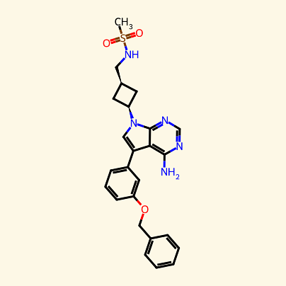 CS(=O)(=O)NC[C@H]1C[C@@H](n2cc(-c3cccc(OCc4ccccc4)c3)c3c(N)ncnc32)C1